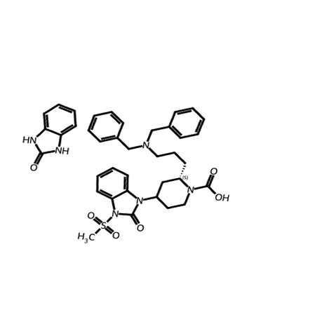 CS(=O)(=O)n1c(=O)n(C2CCN(C(=O)O)[C@@H](CCCN(Cc3ccccc3)Cc3ccccc3)C2)c2ccccc21.O=c1[nH]c2ccccc2[nH]1